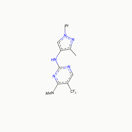 CNc1nc(Nc2cn(C(C)C)nc2C)ncc1C(F)(F)F